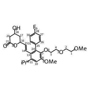 COCCOCCOc1c(OC)cc(C(C)C)c(/C=C/C2CC(O)CC(=O)O2)c1-c1ccc(F)cc1